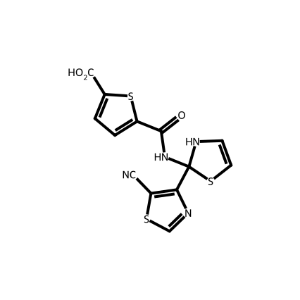 N#Cc1scnc1C1(NC(=O)c2ccc(C(=O)O)s2)NC=CS1